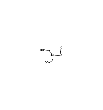 N=N[SiH](C=O)C=O